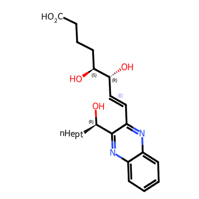 CCCCCCC[C@@H](O)c1nc2ccccc2nc1/C=C/[C@@H](O)[C@@H](O)CCCC(=O)O